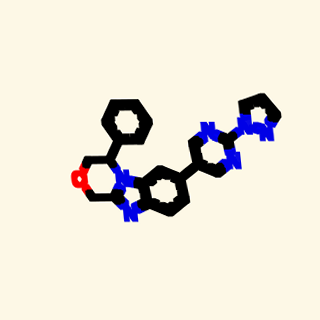 c1ccc(C2COCc3nc4ccc(-c5cnc(-n6cccn6)nc5)cc4n32)cc1